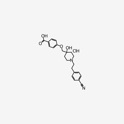 Cl.N#Cc1ccc(CCN2CCC(O)(COc3ccc(C(=O)O)cc3)CC2)cc1